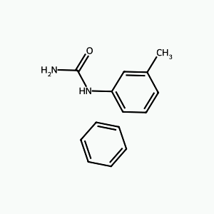 Cc1cccc(NC(N)=O)c1.c1ccccc1